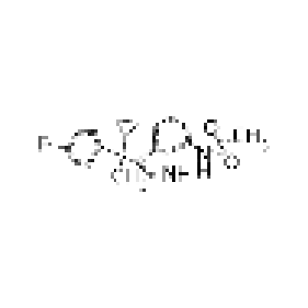 CC(c1ccc(F)cc1)(c1c[nH]c2c(NS(C)(=O)=O)cccc12)C1CC1